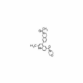 CC(=O)N1CCc2ccc(-c3cc(C)nc4ccc(C(=O)N5CCOCC5)cc34)cc2C1